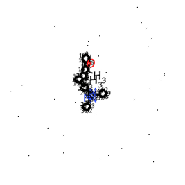 CC1(C)c2cc3oc4ccccc4c3cc2-c2cccc(-c3ccc(-c4nc(-c5ccccc5)nc(-c5ccccc5)n4)cc3)c21